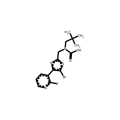 CC(C)(C)CN(Cc1nc(-c2cccnc2F)c(Br)s1)C(=O)O